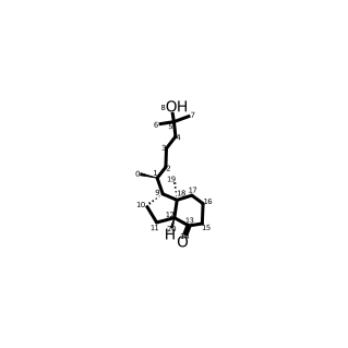 C[C@@H](CCCC(C)(C)O)[C@H]1CC[C@H]2C(=O)CCC[C@]12C